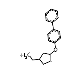 [CH2]CC1C[CH]C(Oc2ccc(-c3ccccc3)cc2)C1